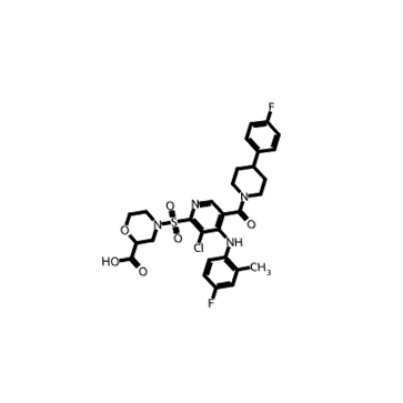 Cc1cc(F)ccc1Nc1c(C(=O)N2CCC(c3ccc(F)cc3)CC2)cnc(S(=O)(=O)N2CCOC(C(=O)O)C2)c1Cl